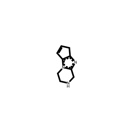 C1=Cc2c(nc3n2CCNC3)C1